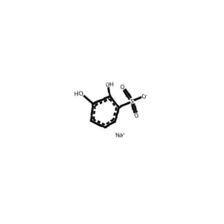 O=S(=O)([O-])c1cccc(O)c1O.[Na+]